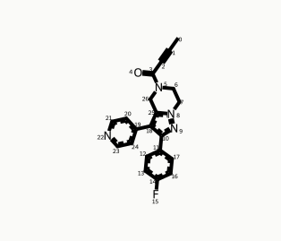 CC#CC(=O)N1CCn2nc(-c3ccc(F)cc3)c(-c3ccncc3)c2C1